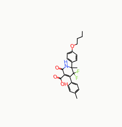 CCCCOc1ccc(C2(C)NC(=O)C(C(=O)O)=C(c3ccc(C)cc3)C2(F)F)cc1